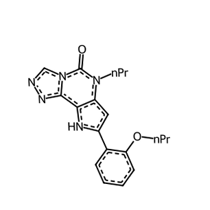 CCCOc1ccccc1-c1cc2c([nH]1)c1nncn1c(=O)n2CCC